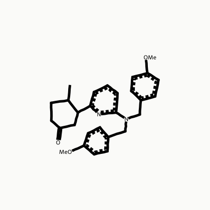 COc1ccc(CN(Cc2ccc(OC)cc2)c2cccc(C3CC(=O)CCC3C)n2)cc1